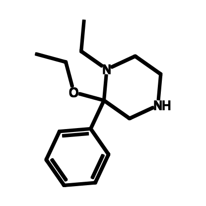 CCOC1(c2ccccc2)CNCCN1CC